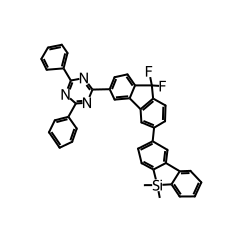 C[Si]1(C)c2ccccc2-c2cc(-c3ccc4c(c3)-c3cc(-c5nc(-c6ccccc6)nc(-c6ccccc6)n5)ccc3C4(F)F)ccc21